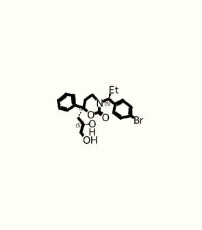 CC[C@@H](c1ccc(Br)cc1)N1CC[C@](C[C@H](O)CO)(c2ccccc2)OC1=O